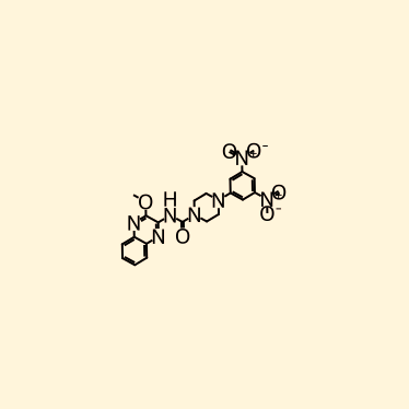 COc1nc2ccccc2nc1NC(=O)N1CCN(c2cc([N+](=O)[O-])cc([N+](=O)[O-])c2)CC1